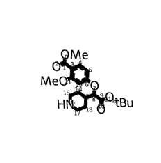 COC(=O)c1ccc(OC(C(=O)OC(C)(C)C)C2CCNCC2)cc1OC